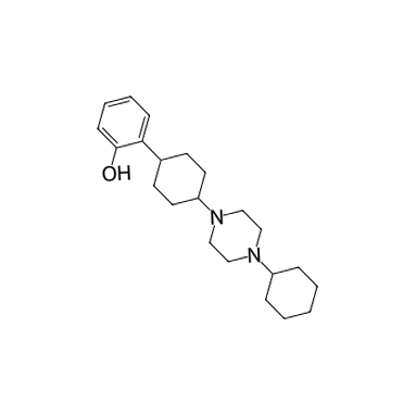 Oc1ccccc1C1CCC(N2CCN(C3CCCCC3)CC2)CC1